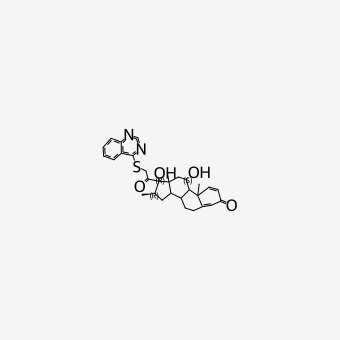 C[C@@H]1CC2C3CCC4=CC(=O)C=CC4(C)C3[C@@H](O)CC2(C)[C@@]1(O)C(=O)CSc1ncnc2ccccc12